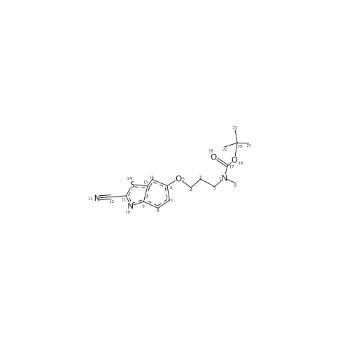 CN(CCCOc1ccc2nc(C#N)sc2c1)C(=O)OC(C)(C)C